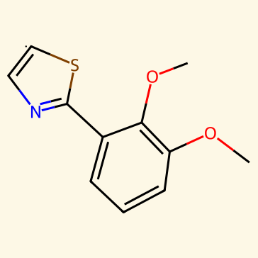 COc1cccc(-c2nc[c]s2)c1OC